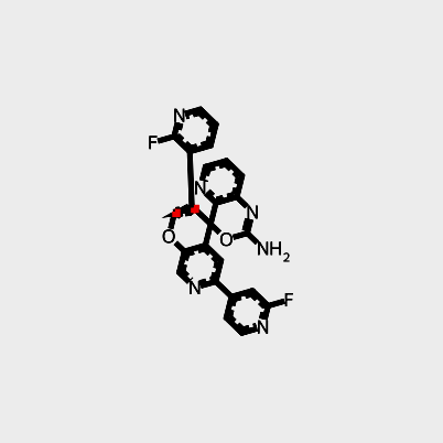 NC1=Nc2cccnc2C2(O1)c1cc(-c3cccnc3F)ccc1Oc1cnc(-c3ccnc(F)c3)cc12